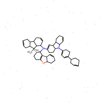 CC1(C)C2CC=CCC2C2CC=CC(N(C3=CC4C5CCC=CC5N(C5=CC=C(C6CC=CCC6)CC5)C4CC3)C3CCCC4=C3C3C=CCCC3O4)C21